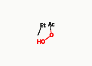 CC(=O)OO.CCC